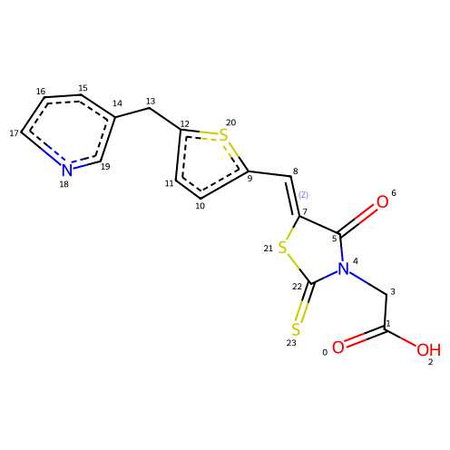 O=C(O)CN1C(=O)/C(=C/c2ccc(Cc3cccnc3)s2)SC1=S